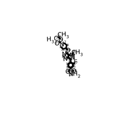 CC(C)OC(=O)N1CCC(Oc2ncnc3c(-c4ccc(S(N)(=O)=O)cc4F)nn(C)c23)CC1